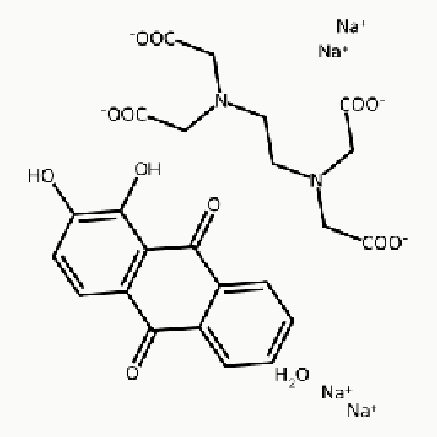 O.O=C([O-])CN(CCN(CC(=O)[O-])CC(=O)[O-])CC(=O)[O-].O=C1c2ccccc2C(=O)c2c1ccc(O)c2O.[Na+].[Na+].[Na+].[Na+]